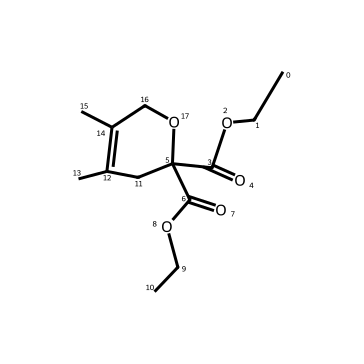 CCOC(=O)C1(C(=O)OCC)CC(C)=C(C)CO1